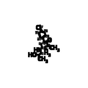 CC(O)CNCC[C@@H](C(=O)C(C)C)c1ccc(Cl)cc1